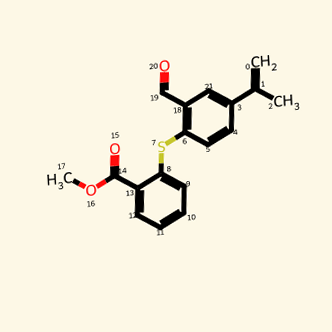 C=C(C)c1ccc(Sc2ccccc2C(=O)OC)c(C=O)c1